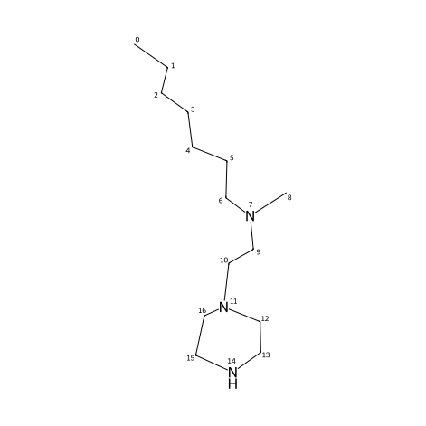 CCCCCCCN(C)CCN1CCNCC1